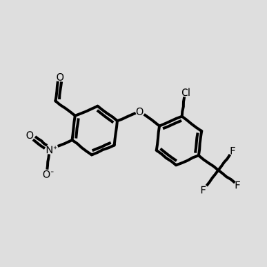 O=Cc1cc(Oc2ccc(C(F)(F)F)cc2Cl)ccc1[N+](=O)[O-]